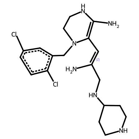 NC1=C(/C=C(\N)CNC2CCNCC2)N(Cc2cc(Cl)ccc2Cl)CCN1